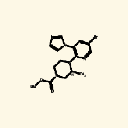 C[C@H]1CN(C(=O)OC(C)(C)C)CCN1c1ncc(Br)cc1-n1ccnc1